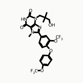 Cn1c(-c2ccc(Oc3ccc(OC(F)(F)F)cc3)c(OC(F)(F)F)c2)nc2c1c(=O)[nH]c(=O)n2CC(C)(C)CO